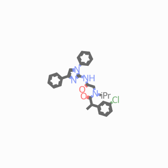 CC(C(=O)N(CC(=O)Nc1nc(-c2ccccc2)cn1-c1ccccc1)C(C)C)c1cccc(Cl)c1